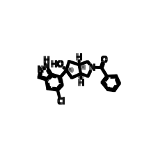 O=C(c1ccccc1)N1C[C@@H]2C[C@](O)(c3cc(Cl)cc4cn[nH]c34)C[C@@H]2C1